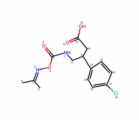 CC(C)=NOC(=O)NCC(CC(=O)O)c1ccc(Cl)cc1